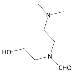 CN(C)CCN(C=O)CCO